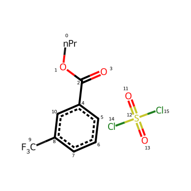 CCCOC(=O)c1cccc(C(F)(F)F)c1.O=S(=O)(Cl)Cl